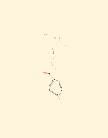 CO[Si](CCCNC(=O)c1ccc([N+](=O)[O-])cc1)(OC)OC